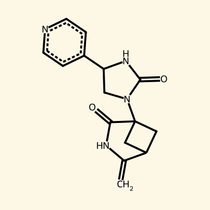 C=C1NC(=O)C2(N3CC(c4ccncc4)NC3=O)CC1C2